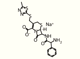 Cc1nnc(SCC2=C(C(=O)[O-])N3C(=O)C(NC(=O)C(N)c4ccccc4)[C@@H]3SC2)s1.[Na+]